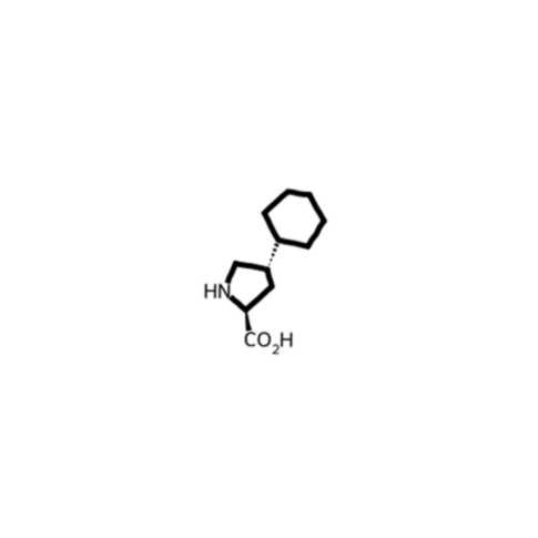 O=C(O)[C@@H]1C[C@@H](C2CCCCC2)CN1